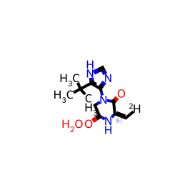 O.[2H]/C=C1/NC(=O)CN(c2nc[nH]c2C(C)(C)C)C1=O